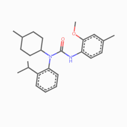 COc1cc(C)ccc1NC(=O)N(c1ccccc1C(C)C)C1CCC(C)CC1